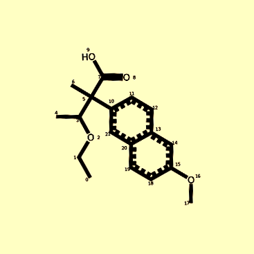 CCOC(C)C(C)(C(=O)O)c1ccc2cc(OC)ccc2c1